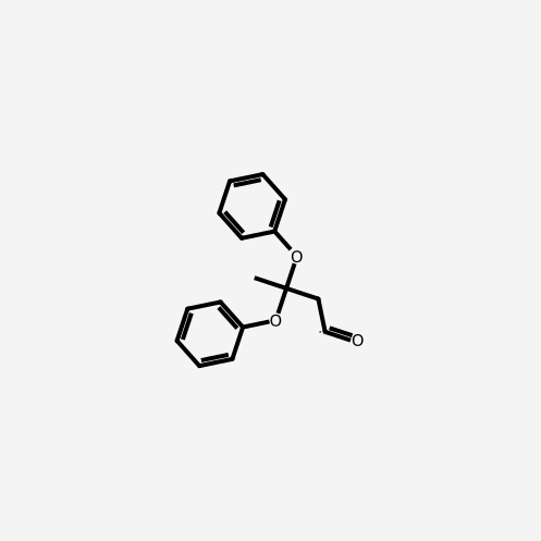 CC(C[C]=O)(Oc1ccccc1)Oc1ccccc1